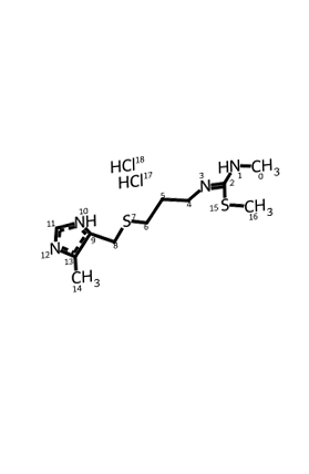 CN/C(=N/CCCSCc1[nH]cnc1C)SC.Cl.Cl